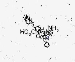 Nc1nc(/C(=N/Oc2ccccc2)C(=O)NC2C(=O)N3C(C(=O)O)=C(CSc4ccc5nnnn5n4)CS[C@H]23)ns1